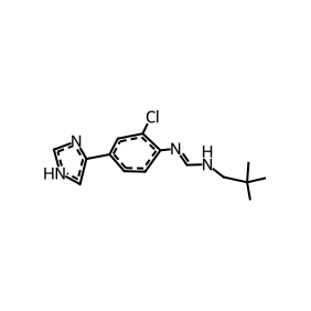 CC(C)(C)CNC=Nc1ccc(-c2c[nH]cn2)cc1Cl